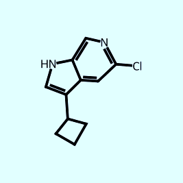 Clc1cc2c(C3CCC3)c[nH]c2cn1